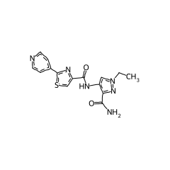 CCn1cc(NC(=O)c2csc(-c3ccncc3)n2)c(C(N)=O)n1